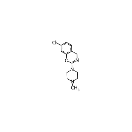 CN1CCN(C2=NCc3ccc(Cl)cc3O2)CC1